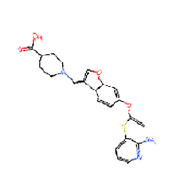 C=C(OC1=CC2OC=C(CN3CCC(C(=O)O)CC3)C2C=C1)Sc1cccnc1N